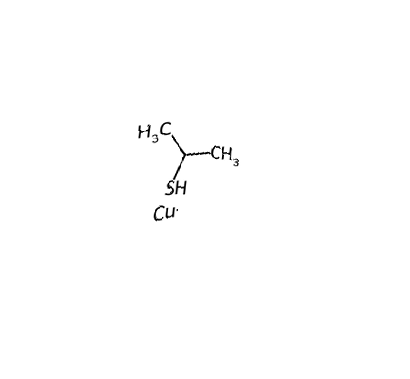 CC(C)S.[Cu]